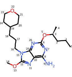 CCC[C@H](C)Oc1nc(N)c2nc(OC)n(CCCC3CCOCC3)c2n1